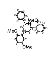 COc1ccc(OC)c(N2CC(c3ccccc3OC)=NN(c3ccccc3)C2)c1